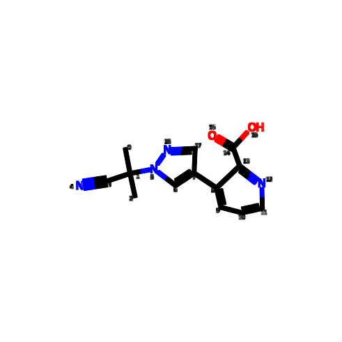 CC(C)(C#N)n1cc(-c2cccnc2C(=O)O)cn1